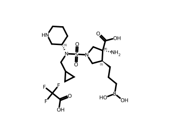 N[C@@]1(C(=O)O)CN(S(=O)(=O)N(CC2CC2)[C@H]2CCCNC2)C[C@@H]1CCCB(O)O.O=C(O)C(F)(F)F